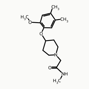 CNC(=O)CN1CCC(Oc2cc(C)c(C)cc2OC)CC1